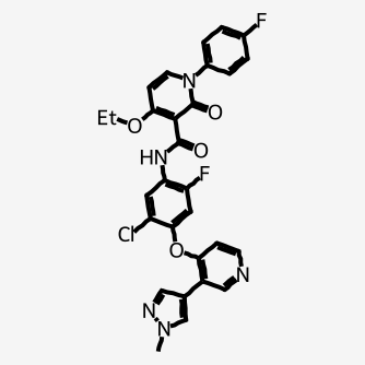 CCOc1ccn(-c2ccc(F)cc2)c(=O)c1C(=O)Nc1cc(Cl)c(Oc2ccncc2-c2cnn(C)c2)cc1F